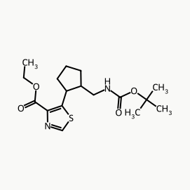 CCOC(=O)c1ncsc1C1CCCC1CNC(=O)OC(C)(C)C